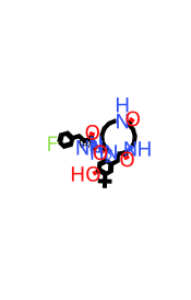 CN(C(=O)[C@@H](N)Cc1ccc(F)cc1)C1CCCCNC(=O)CCCNC(=O)C(Cc2ccc(O)c(C(C)(C)C)c2)NC1=O